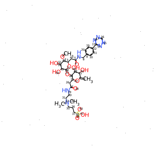 CO[C@@H]1C(CC(=O)NCc2ccc(-c3nncnn3)cc2)O[C@@H](O[C@@H]2C(CC(=O)NCC[N+](C)(C)CCCS(=O)(=O)O)O[C@@H](C)C(O)[C@H]2O)C(O)[C@H]1O